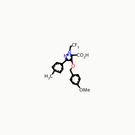 COc1ccc(COc2c(-c3ccc(C)cc3)nn(CC(F)(F)F)c2C(=O)O)cc1